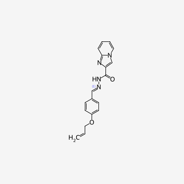 C=CCOc1ccc(/C=N/NC(=O)c2cn3ccccc3n2)cc1